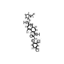 CCN1CCCC1CNc1cc(C)c2cc(NC(=O)COc3ccc(Cl)cc3Cl)ccc2n1